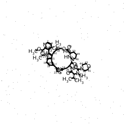 CCn1c(-c2cccnc2[C@H](C)OC)c2c3cc(ccc31)-c1csc(n1)C[C@H](NC(=O)[C@H](C(C)C)N(C)C(=O)N1CCOCC1)C(=O)N1CCC[C@@](O)(N1)C(=O)OCC(C)(C)C2